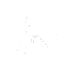 CCCCn1c(CN(Cc2ccc(OC(C)C)cc2)Cc2cccc3ccccc23)cnc1-c1ccccc1